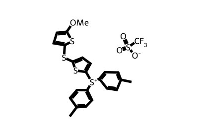 COc1ccc(Sc2ccc([S+](c3ccc(C)cc3)c3ccc(C)cc3)s2)s1.O=S(=O)([O-])C(F)(F)F